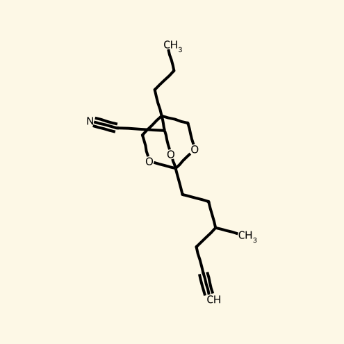 C#CCC(C)CCC12OCC(CCC)(CO1)C(C#N)O2